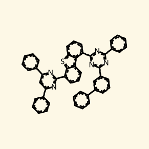 c1ccc(-c2cccc(-c3nc(-c4ccccc4)nc(-c4cccc5sc6c(-c7nc(-c8ccccc8)cc(-c8ccccc8)n7)cccc6c45)n3)c2)cc1